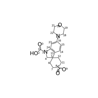 O=C(O)N1CC2(CCS(=O)(=O)CC2)c2ccc(N3CCOCC3)cc21